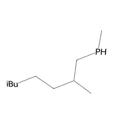 CCC(C)CCC(C)CPC